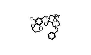 CC(C)CN(Cc1cc(F)c2c(c1)OCCCO2)C(=O)C1CN(Cc2ccccc2)CCO1